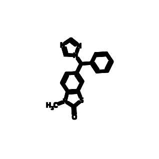 Cn1c(=O)sc2cc(C(c3ccccc3)n3cncn3)ccc21